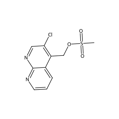 CS(=O)(=O)OCc1c(Cl)cnc2ncccc12